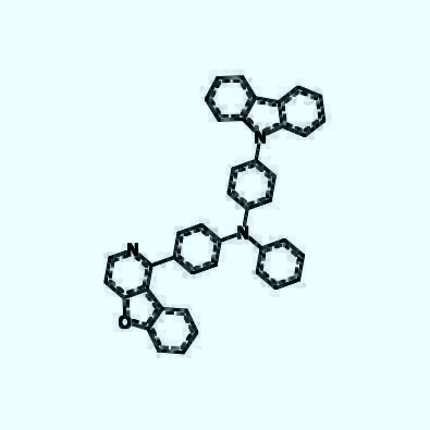 c1ccc(N(c2ccc(-c3nccc4oc5ccccc5c34)cc2)c2ccc(-n3c4ccccc4c4ccccc43)cc2)cc1